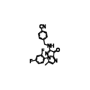 CC1=CN=C2C(=O)C(NCc3ccc(C#N)cc3)=N[N+]12c1ccc(F)cc1F